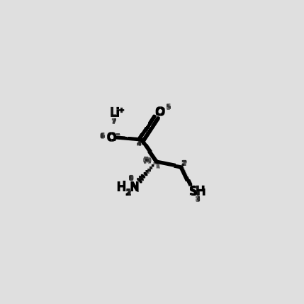 N[C@@H](CS)C(=O)[O-].[Li+]